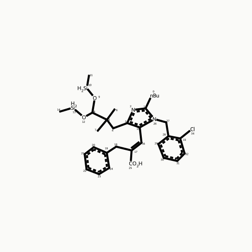 CCCCc1nc(CC(C)(C)C(O[SiH2]C)O[SiH2]C)c(/C=C(\Cc2ccccc2)C(=O)O)n1Cc1ccccc1Cl